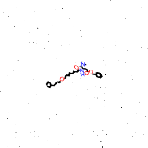 CN(C)CC(CC(=O)OCc1ccccc1)NC(=O)CCCCCCCOCCCc1ccccc1